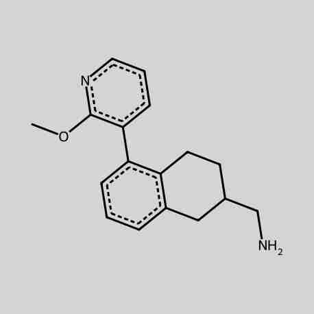 COc1ncccc1-c1cccc2c1CCC(CN)C2